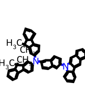 CC1(C)c2ccccc2-c2ccc(N(c3ccc4c(c3)C(C)(C)c3ccccc3-4)c3ccc4cc(-n5c6ccccc6c6cc7ccccc7cc65)ccc4c3)cc21